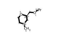 CC(C)OC[C@H]1CN(C)CCO1